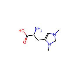 CN1C=C(CC(N)C(=O)O)N(C)C1